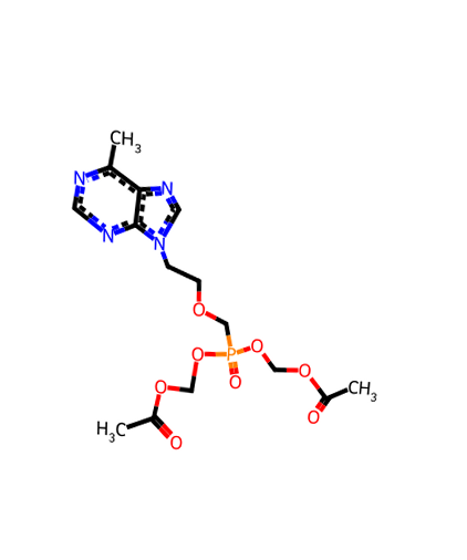 CC(=O)OCOP(=O)(COCCn1cnc2c(C)ncnc21)OCOC(C)=O